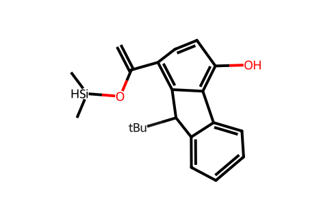 C=C(O[SiH](C)C)c1ccc(O)c2c1C(C(C)(C)C)c1ccccc1-2